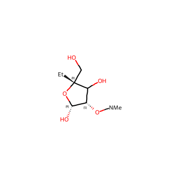 CC[C@]1(CO)O[C@@H](O)[C@@H](ONC)C1O